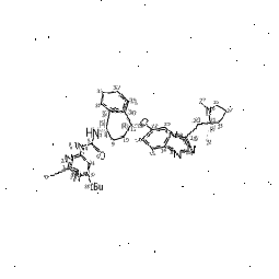 Cc1nc(NC(=O)N[C@H]2CC[C@@H](Oc3ccc4nnc(C[C@]5(C)CCCN5C)n4c3)c3ccccc32)cc(C(C)(C)C)n1